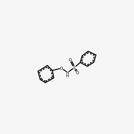 O=S(=O)(NOc1ccccc1)c1ccccc1